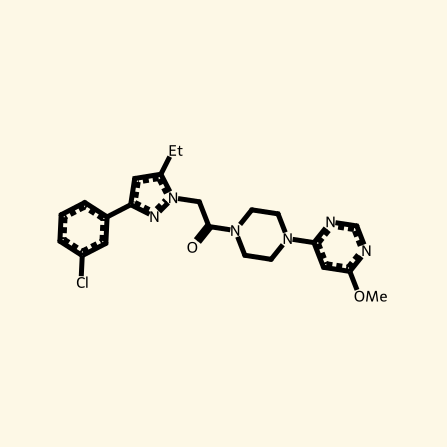 CCc1cc(-c2cccc(Cl)c2)nn1CC(=O)N1CCN(c2cc(OC)ncn2)CC1